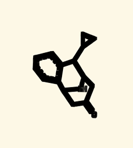 O=C1CC2NC(C1)C(C1CC1)c1ccccc12